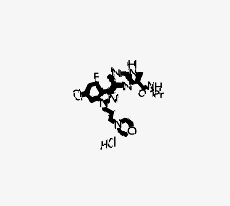 CC(C)NC(=O)c1c[nH]c2ncc(-c3nn(CCCN4CCOCC4)c4cc(Cl)cc(F)c34)nc12.Cl